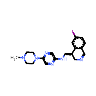 CN1CCN(c2cnc(NC=C3CN=Cc4ccc(I)cc43)cn2)CC1